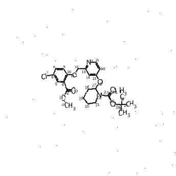 COC(=O)c1cc(Cl)ccc1OCc1cc(OC2CCCCN2C(=O)OC(C)(C)C)ccn1